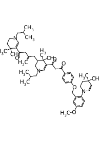 C=C(CC(=O)C1=CN(CC(C)C)CCC1(C)C)CC1CN(CC(C)C)C=C(C(=O)CC(=O)c2ccc(OCc3cc(OC)ccc3N3C=CC(C)(C)CC3)cc2)C1(C)C